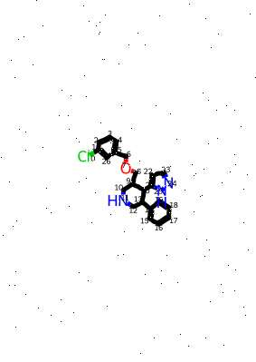 Clc1cccc(COCC2CNCC(c3ccccc3)C2c2ccn[nH]2)c1